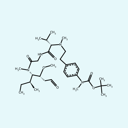 CC[C@H](C)[C@@H]([C@@H](CC=O)OC)N(C)C(=O)CNC(=O)[C@H](C(C)C)N(C)CCc1ccc(N(C)C(=O)OC(C)(C)C)cc1